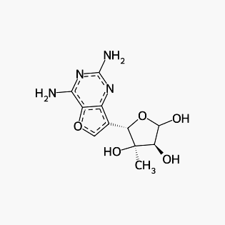 C[C@@]1(O)[C@H](O)C(O)O[C@H]1c1coc2c(N)nc(N)nc12